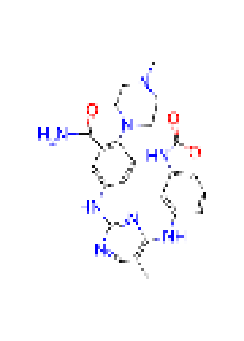 Cc1cnc(Nc2ccc(N3CCN(C)CC3)c(C(N)=O)c2)nc1Nc1ccc2oc(=O)[nH]c2c1